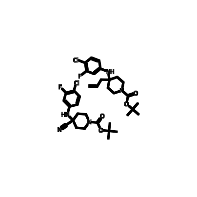 C=CCC1(Nc2ccc(Cl)c(F)c2)CCN(C(=O)OC(C)(C)C)CC1.CC(C)(C)OC(=O)N1CCC(C#N)(Nc2ccc(Cl)c(F)c2)CC1